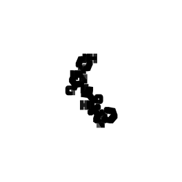 CC(C)(NC(=O)C1CN(c2nc(N3CCNCC3)ncc2Cl)C1)c1cnc2ccccn12